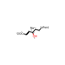 CCCCCCCC(O)C=CC(=O)[O-].[Na+]